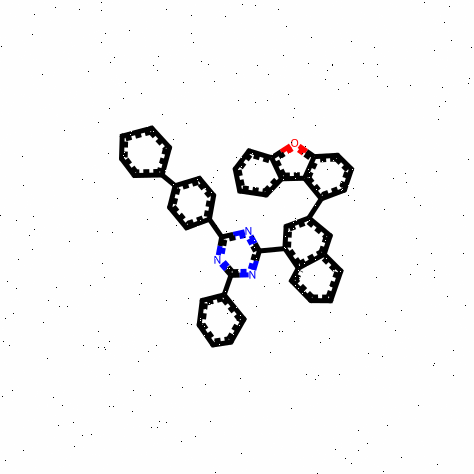 c1ccc(-c2ccc(-c3nc(-c4ccccc4)nc(-c4cc(-c5cccc6oc7ccccc7c56)cc5ccccc45)n3)cc2)cc1